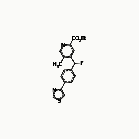 CCOC(=O)c1cc(C(F)c2ccc(-c3cscn3)cc2)c(C)cn1